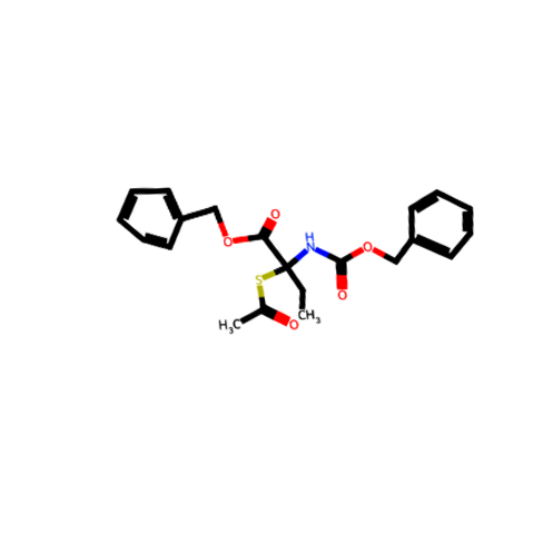 CCC(NC(=O)OCc1ccccc1)(SC(C)=O)C(=O)OCc1ccccc1